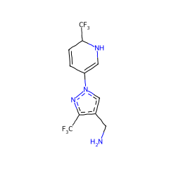 NCc1cn(C2=CNC(C(F)(F)F)C=C2)nc1C(F)(F)F